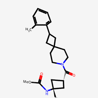 COC(=O)N[C@]1(C)C[C@H](C(=O)N2CCC3(CC2)CC(c2ccccc2C)C3)C1